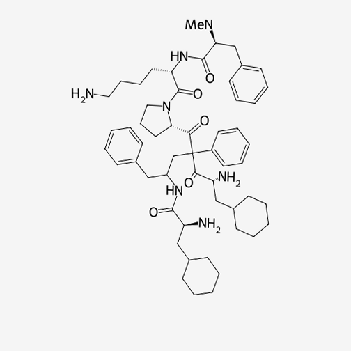 CN[C@@H](Cc1ccccc1)C(=O)N[C@@H](CCCCN)C(=O)N1CCC[C@H]1C(=O)C(CC(Cc1ccccc1)NC(=O)[C@@H](N)CC1CCCCC1)(C(=O)[C@H](N)CC1CCCCC1)c1ccccc1